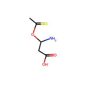 CC(=S)OC(N)CC(=O)O